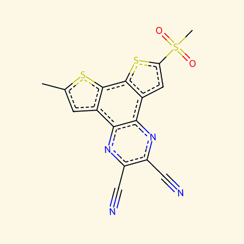 Cc1cc2c3nc(C#N)c(C#N)nc3c3cc(S(C)(=O)=O)sc3c2s1